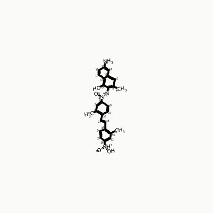 Cc1cc([N+]([O-])=Nc2c(C)cc3cc(N)ccc3c2O)ccc1C=Cc1ccc([NH+]([O-])O)cc1C